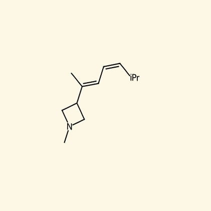 C/C(=C\C=C/C(C)C)C1CN(C)C1